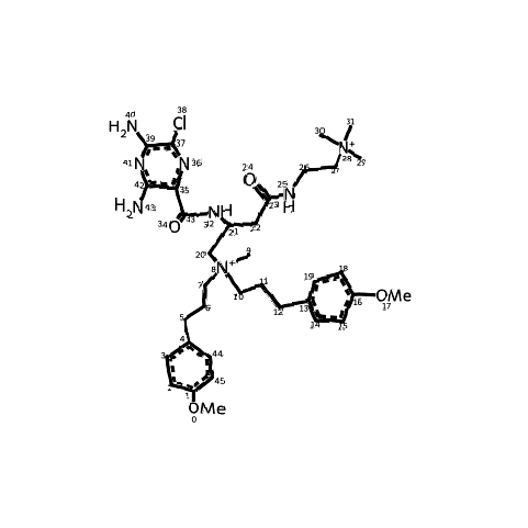 COc1ccc(CCC[N+](C)(CCCc2ccc(OC)cc2)CC(CC(=O)NCC[N+](C)(C)C)NC(=O)c2nc(Cl)c(N)nc2N)cc1